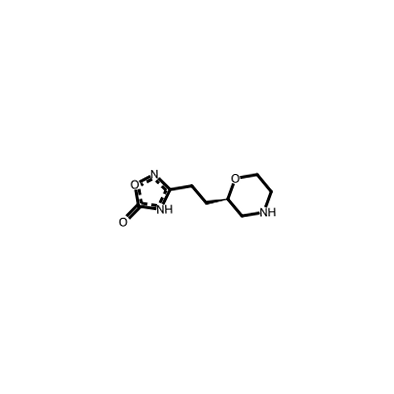 O=c1[nH]c(CC[C@@H]2CNCCO2)no1